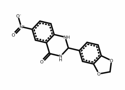 O=C1NC(c2ccc3c(c2)OCO3)Nc2ccc([N+](=O)[O-])cc21